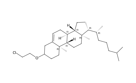 CC(C)CCC[C@@H](C)[C@H]1CC[C@H]2[C@@H]3CC=C4CC(OCCCl)CC[C@]4(C)[C@H]3CC[C@]12C